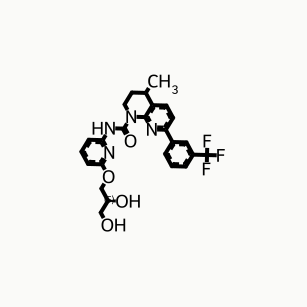 CC1CCN(C(=O)Nc2cccc(OC[C@@H](O)CO)n2)c2nc(-c3cccc(C(F)(F)F)c3)ccc21